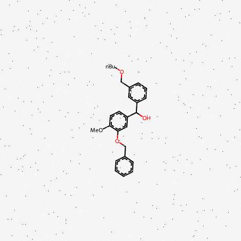 CCCCOCc1cccc(C(O)c2ccc(OC)c(OCc3ccccc3)c2)c1